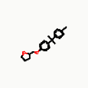 Cc1ccc(C(C)(C)c2ccc(OCC3CCCO3)cc2)cc1